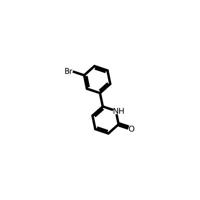 O=c1cccc(-c2cccc(Br)c2)[nH]1